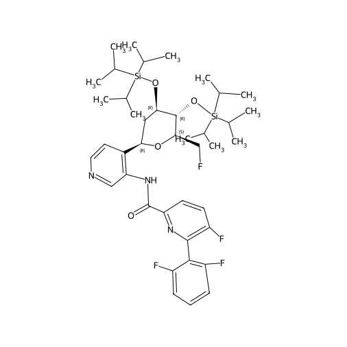 CC(C)[Si](O[C@@H]1[C@@H](CF)O[C@@H](c2ccncc2NC(=O)c2ccc(F)c(-c3c(F)cccc3F)n2)C[C@H]1O[Si](C(C)C)(C(C)C)C(C)C)(C(C)C)C(C)C